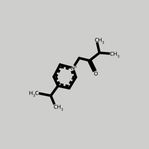 CC(C)C(=O)C[n+]1ccc(C(C)C)cc1